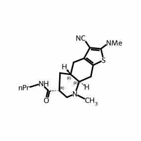 CCCNC(=O)[C@@H]1C[C@@H]2Cc3c(sc(NC)c3C#N)C[C@H]2N(C)C1